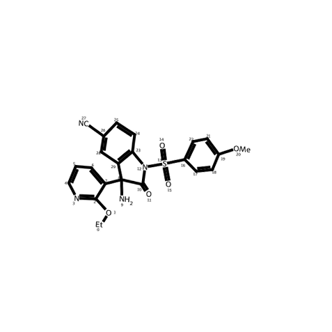 CCOc1ncccc1C1(N)C(=O)N(S(=O)(=O)c2ccc(OC)cc2)c2ccc(C#N)cc21